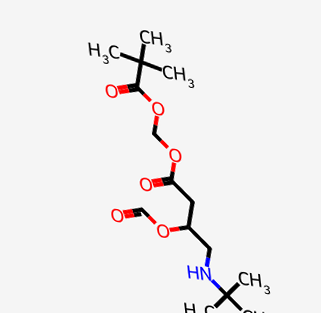 CC(C)(C)NCC(CC(=O)OCOC(=O)C(C)(C)C)OC=O